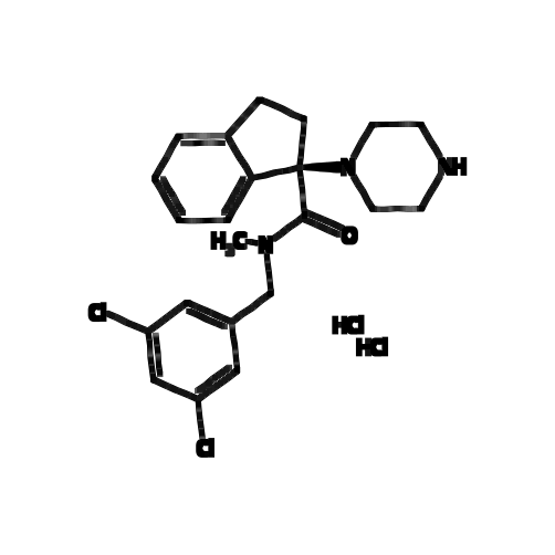 CN(Cc1cc(Cl)cc(Cl)c1)C(=O)[C@@]1(N2CCNCC2)CCc2ccccc21.Cl.Cl